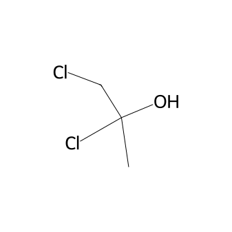 CC(O)(Cl)CCl